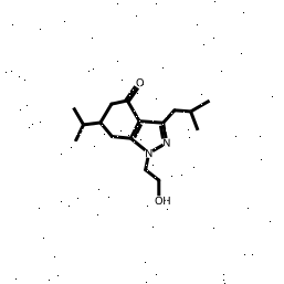 CC(C)Cc1nn(CCO)c2c1C(=O)CC(C(C)C)C2